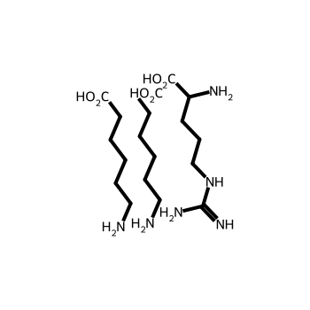 N=C(N)NCCCC(N)C(=O)O.NCCCCCC(=O)O.NCCCCCC(=O)O